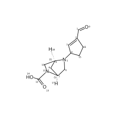 O=CC1=CC(N2C[C@@H]3C[C@H]2CN3C(=O)O)CC1